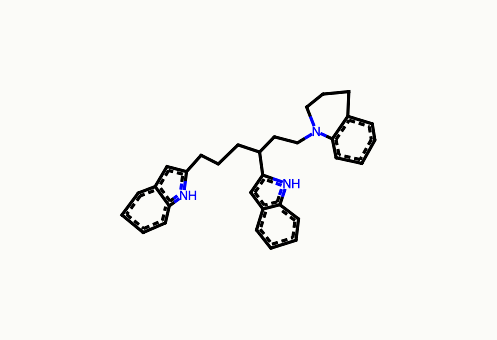 c1ccc2c(c1)CCCN2CCC(CCCc1cc2ccccc2[nH]1)c1cc2ccccc2[nH]1